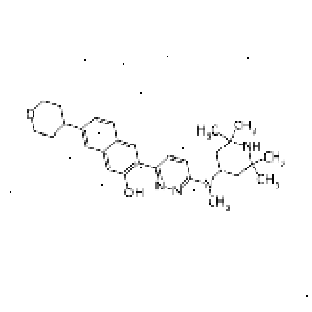 CN(c1ccc(-c2cc3ccc(C4CCOCC4)cc3cc2O)nn1)C1CC(C)(C)NC(C)(C)C1